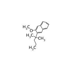 CCCC(C)(C)c1cc2ccccc2cc1OC